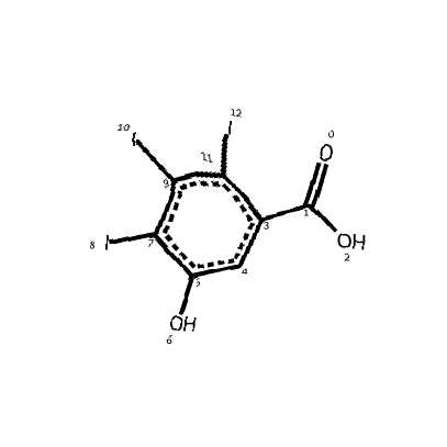 O=C(O)c1cc(O)c(I)c(I)c1I